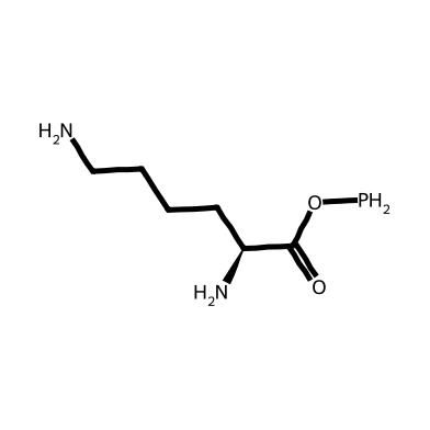 NCCCC[C@H](N)C(=O)OP